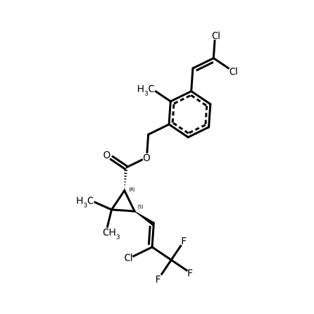 Cc1c(C=C(Cl)Cl)cccc1COC(=O)[C@@H]1[C@@H](C=C(Cl)C(F)(F)F)C1(C)C